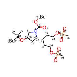 CC(C)(C)OC(=O)N1C[C@H](O[Si](C)(C)C(C)(C)C)C[C@H]1C(CCOS(C)(=O)=O)CCOS(C)(=O)=O